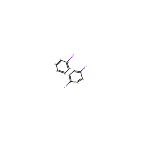 Ic1ccc(I)cc1.Ic1ccccc1